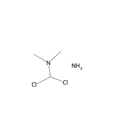 CN(C)C(Cl)Cl.N